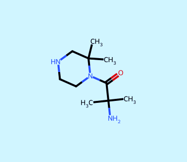 CC(C)(N)C(=O)N1CCNCC1(C)C